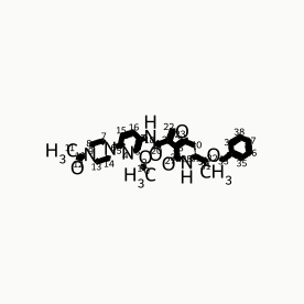 CCOc1nc(N2CCN(C(C)=O)CC2)ccc1NC(=O)c1coc2c1C(=O)N[C@@H]([C@@H](C)OCc1ccccc1)C2